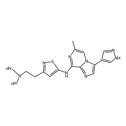 CCCN(CCC)CCc1cc(Nc2nc(C)cn3c(-c4cn[nH]c4)cnc23)sn1